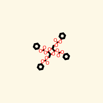 O=C(OC=C1OC(OC(=O)Oc2ccccc2)C(=COC(=O)Oc2ccccc2)OC1OC(=O)Oc1ccccc1)Oc1ccccc1